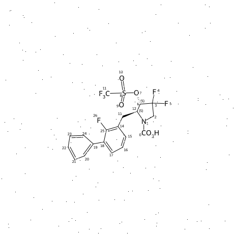 O=C(O)N1CC(F)(F)[C@@H](OS(=O)(=O)C(F)(F)F)[C@@H]1Cc1cccc(-c2ccccc2)c1F